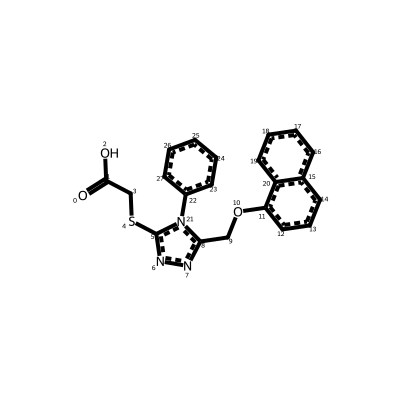 O=C(O)CSc1nnc(COc2cccc3ccccc23)n1-c1ccccc1